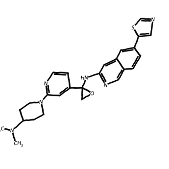 CN(C)C1CCN(c2cc(C3(Nc4cc5cc(-c6cncs6)ccc5cn4)CO3)ccn2)CC1